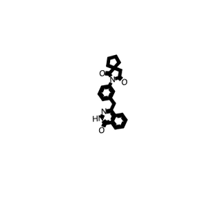 O=C1CC2(CCCC2)C(=O)N1c1cccc(Cc2n[nH]c(=O)c3ccccc23)c1